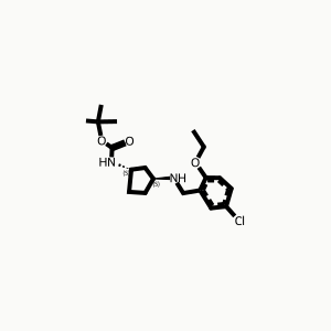 CCOc1ccc(Cl)cc1CN[C@H]1CC[C@H](NC(=O)OC(C)(C)C)C1